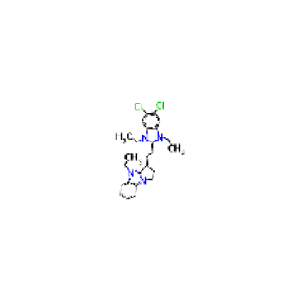 CCN1C(=CC=C2CCn3c2[n+](CC)c2ccccc23)N(CC)c2cc(Cl)c(Cl)cc21